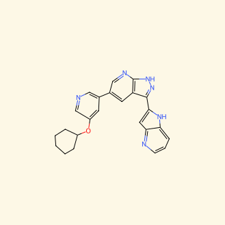 c1cnc2cc(-c3n[nH]c4ncc(-c5cncc(OC6CCCCC6)c5)cc34)[nH]c2c1